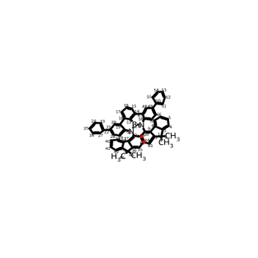 CC1(C)c2ccccc2-c2c(N3B4c5c(cccc5-c5cc(-c6ccccc6)ccc5N4c4cccc5c4-c4ccccc4C5(C)C)-c4cc(-c5ccccc5)ccc43)cccc21